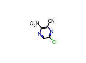 N#Cc1nc(Cl)cnc1[N+](=O)[O-]